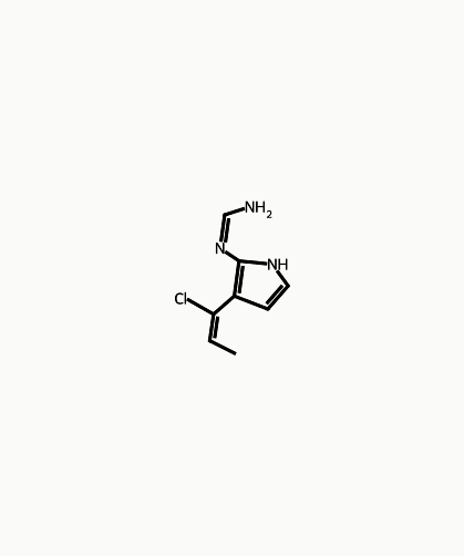 C/C=C(/Cl)c1cc[nH]c1/N=C\N